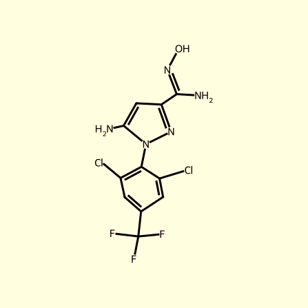 NC(=NO)c1cc(N)n(-c2c(Cl)cc(C(F)(F)F)cc2Cl)n1